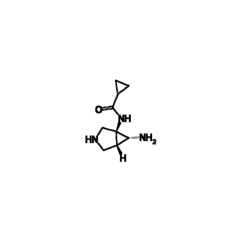 N[C@@H]1[C@@H]2CNC[C@]12NC(=O)C1CC1